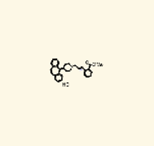 COC(=O)c1ccccc1/C=C/CN1CCC(=C2c3ccccc3C=Cc3ccccc32)CC1.Cl